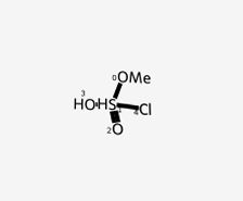 CO[SH](=O)(O)Cl